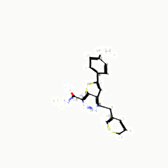 Cc1ccc(-c2cc3c(CC4=CSCC=C4)nnc(C(N)=O)c3s2)cc1